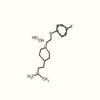 CN(C)CCC1CCN(CCOc2ccc(F)cc2)CC1.Cl.Cl